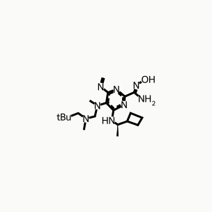 C=Nc1nc(/C(N)=N/O)nc(N[C@H](C)C2CCC2)c1N(C)CN(C)CC(C)(C)C